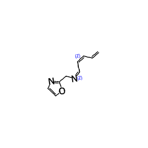 C=C/C=C\C=N/Cc1ncco1